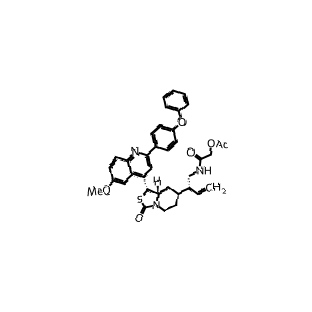 C=C[C@@H](CNC(=O)COC(C)=O)[C@H]1CCN2C(=O)S[C@H](c3cc(-c4ccc(Oc5ccccc5)cc4)nc4ccc(OC)cc34)[C@@H]2C1